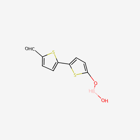 O=Cc1ccc(-c2ccc(OBO)s2)s1